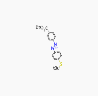 CCOC(=O)c1ccc(/N=N/c2ccc(SC(C)(C)C)cc2)cc1